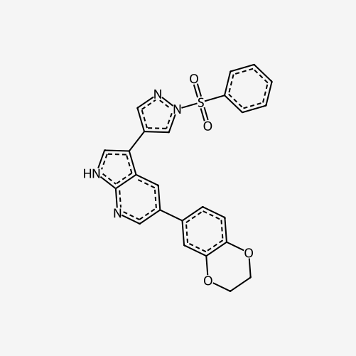 O=S(=O)(c1ccccc1)n1cc(-c2c[nH]c3ncc(-c4ccc5c(c4)OCCO5)cc23)cn1